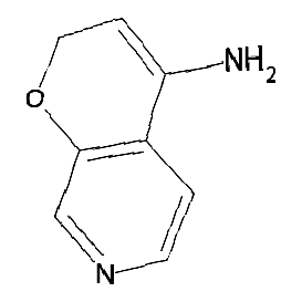 NC1=CCOc2cnccc21